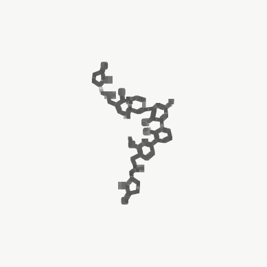 COc1nc(-c2cccc(-c3cc(F)cc(-c4ccn5c(=O)c(CNC[C@@H]6CCC(=O)N6)cnc5c4)c3Cl)c2Cl)ccc1CNC[C@H]1CCC(=O)N1